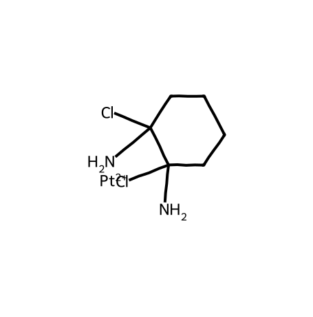 NC1(Cl)CCCCC1(N)Cl.[Pt+2]